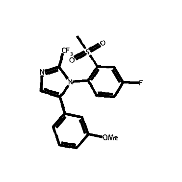 COc1cccc(-c2cnc(C(F)(F)F)n2-c2ccc(F)cc2S(C)(=O)=O)c1